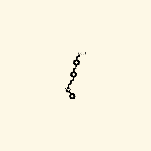 O=C(O)CCc1ccc(OCc2ccc(CCCCc3nc(-c4ccccc4)cs3)cc2)cc1